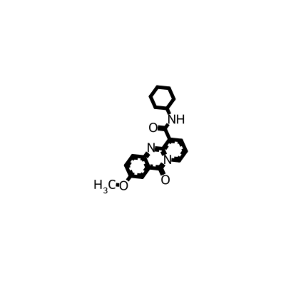 COc1ccc2nc3c(C(=O)NC4CCCCC4)cccn3c(=O)c2c1